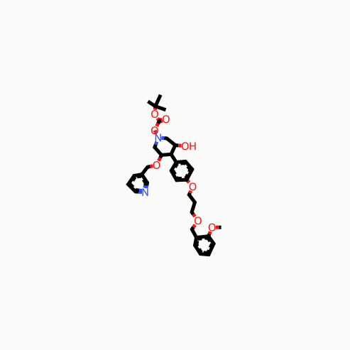 COc1ccccc1COCCCOc1ccc(C2C(O)CN(OC(=O)OC(C)(C)C)CC2OCc2cccnc2)cc1